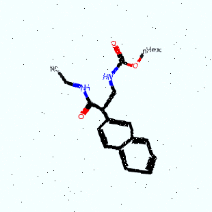 CCCCCCOC(=O)NCC(C(=O)NCC#N)c1ccc2ccccc2c1